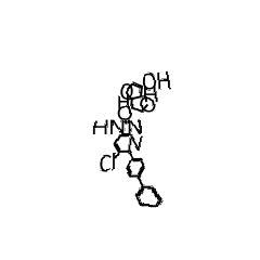 O[C@@H]1CO[C@@H]2[C@H]1OC[C@@H]2Oc1nc2nc(-c3ccc(-c4ccccc4)cc3)c(Cl)cc2[nH]1